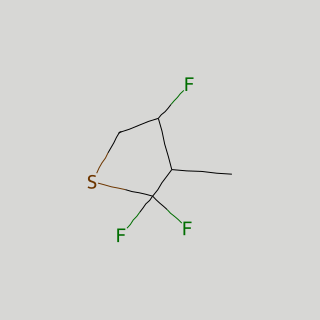 CC1C(F)CSC1(F)F